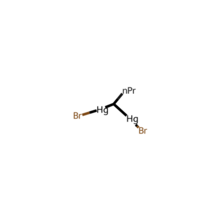 CCC[CH]([Hg][Br])[Hg][Br]